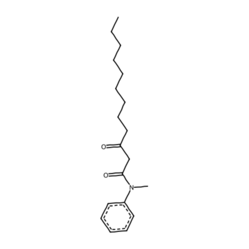 CCCCCCCCCC(=O)CC(=O)N(C)c1ccccc1